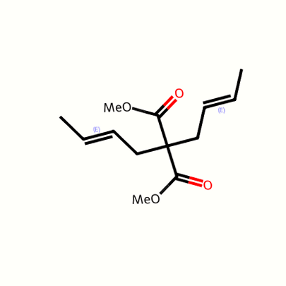 C/C=C/CC(C/C=C/C)(C(=O)OC)C(=O)OC